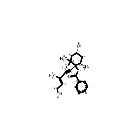 CC(C#C[C@]1(OC(=O)c2ccccc2)[C@H](C)C[C@@H](O)CC1(C)C)=CCO